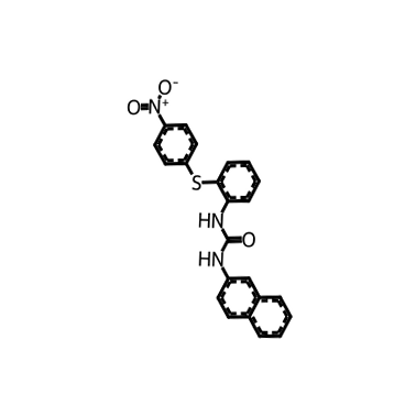 O=C(Nc1ccc2ccccc2c1)Nc1ccccc1Sc1ccc([N+](=O)[O-])cc1